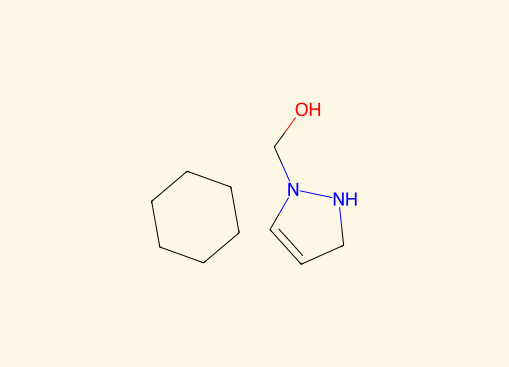 C1CCCCC1.OCN1C=CCN1